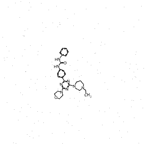 CCN1CCCN(c2nc(-c3ccc(NC(=O)Nc4ccccc4)cc3)nc(N3CCOCC3)n2)CC1